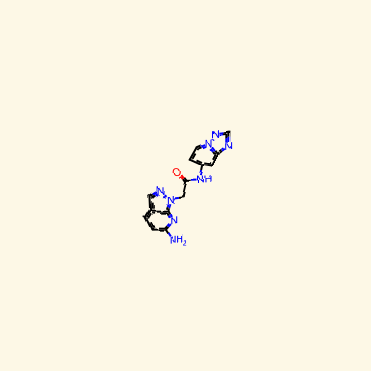 Nc1ccc2cnn(CC(=O)Nc3ccn4ncnc4c3)c2n1